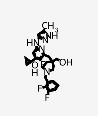 Cc1cc(Nc2cc(C3(O)CC3)c(F)c(CC3(CO)CCN(Cc4cccc(F)c4F)CC3)n2)n[nH]1